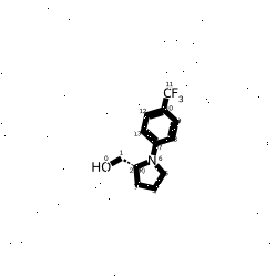 OC[C@H]1CCCN1c1ccc(C(F)(F)F)cc1